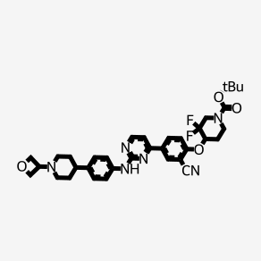 CC(C)(C)OC(=O)N1CCC(Oc2ccc(-c3ccnc(Nc4ccc(C5CCN(C6COC6)CC5)cc4)n3)cc2C#N)C(F)(F)C1